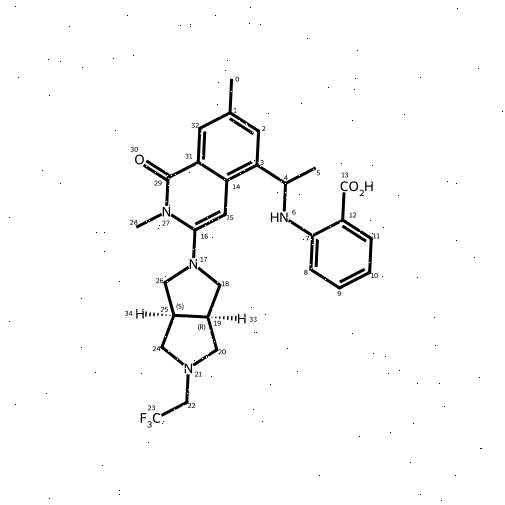 Cc1cc(C(C)Nc2ccccc2C(=O)O)c2cc(N3C[C@H]4CN(CC(F)(F)F)C[C@H]4C3)n(C)c(=O)c2c1